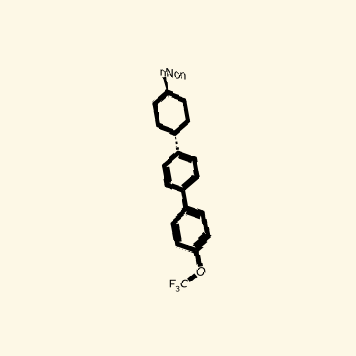 CCCCCCCCC[C@H]1CC[C@H](c2ccc(-c3ccc(OC(F)(F)F)cc3)cc2)CC1